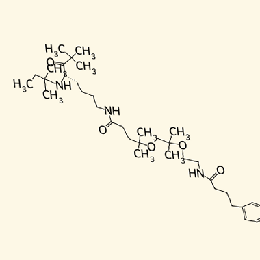 CCC(C)(C)N[C@@H](CCCCNC(=O)CCC(C)(C)OCC(C)(C)OCCNC(=O)CCCc1ccc(I)cc1)C(=O)C(C)(C)C